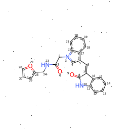 O=C(Cn1cc(C=C2C(=O)Nc3ccccc32)c2ccccc21)NCc1ccco1